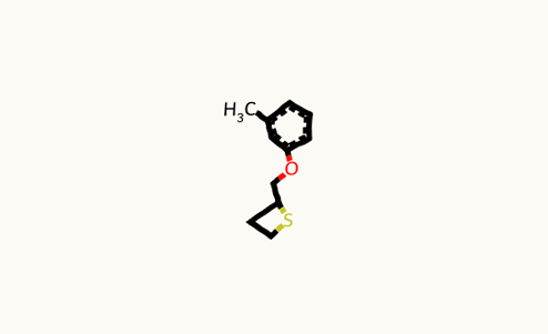 Cc1cccc(OCC2CCS2)c1